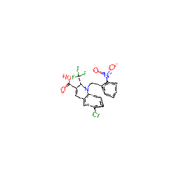 O=C(O)C1=Cc2cc(Cl)ccc2N(Cc2ccccc2[N+](=O)[O-])C1C(F)(F)F